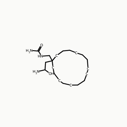 NC(=O)NCC1(CC(N)O)CCCCCCCCCCCCCCC1